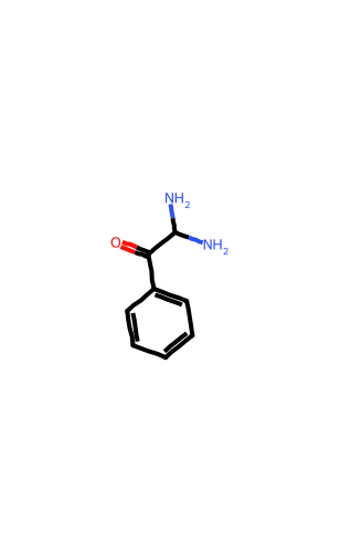 NC(N)C(=O)c1ccccc1